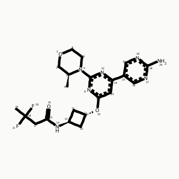 C[C@H]1COCCN1c1nc(O[C@H]2C[C@H](NC(=O)CC(C)(F)F)C2)cc(-c2cnc(N)nc2)n1